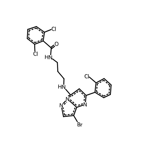 O=C(NCCCNc1cc(-c2ccccc2Cl)nc2c(Br)cnn12)c1c(Cl)cccc1Cl